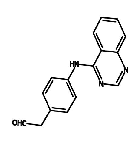 O=CCc1ccc(Nc2ncnc3ccccc23)cc1